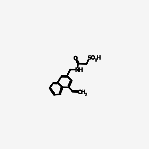 C=Cc1cc(CNC(=O)CS(=O)(=O)O)cc2ccccc12